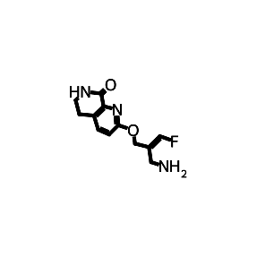 NCC(=CF)COc1ccc2c(n1)C(=O)NCC2